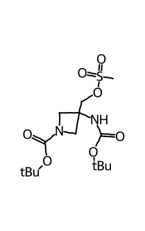 CC(C)(C)OC(=O)NC1(COS(C)(=O)=O)CN(C(=O)OC(C)(C)C)C1